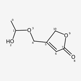 CC(O)OCC1=CC(=O)OC1